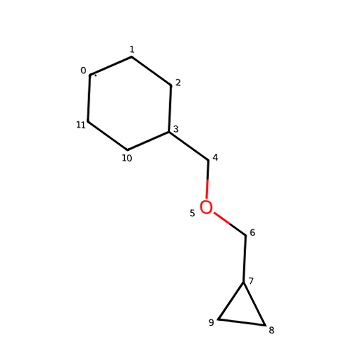 [CH]1CCC(COCC2CC2)CC1